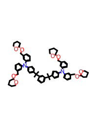 CC(C)(c1ccc(N(c2cccc(COC3CCCCO3)c2)c2cccc(COC3CCCCO3)c2)cc1)c1cccc(C(C)(C)c2ccc(N(c3cccc(COC4CCCCO4)c3)c3cccc(COC4CCCCO4)c3)cc2)c1